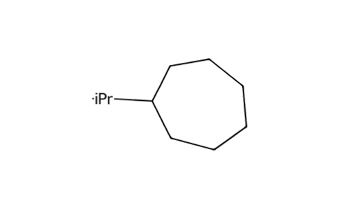 C[C](C)C1CCCCCC1